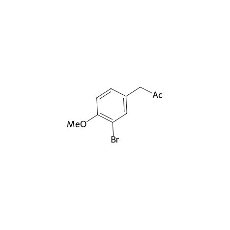 COc1ccc(CC(C)=O)cc1Br